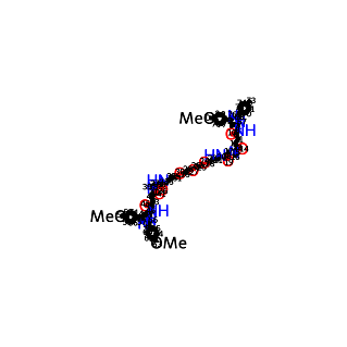 COc1ccc(-c2cc(NC(=O)CCC(=O)N(C)CC(=O)NCCCOCCOCCOCCCNC(=O)CN(C)C(=O)CCC(=O)Nc3cc(-c4ccc(OC)cc4)nc(-c4ccc(OC)cc4)n3)nc(-c3ccc(C)cc3)n2)cc1